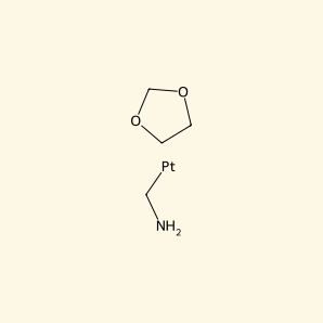 C1COCO1.N[CH2][Pt]